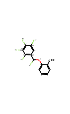 O=Cc1ccccc1OC(F)c1cc(F)c(F)c(F)c1F